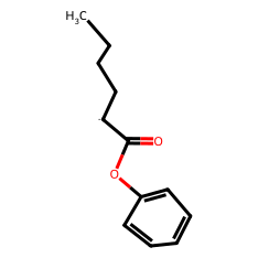 CCCC[CH]C(=O)Oc1ccccc1